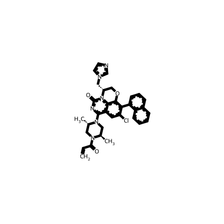 C=CC(=O)N1C[C@H](C)N(c2nc(=O)n3c4c(c(-c5cccc6ccccc56)c(Cl)cc24)OC[C@H]3Cn2ccnc2)C[C@H]1C